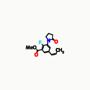 C/C=C\c1cc(C(=O)OC)c(F)c(N2CCCC2=O)c1